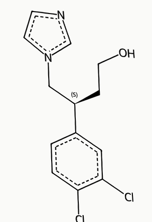 OCC[C@H](Cn1ccnc1)c1ccc(Cl)c(Cl)c1